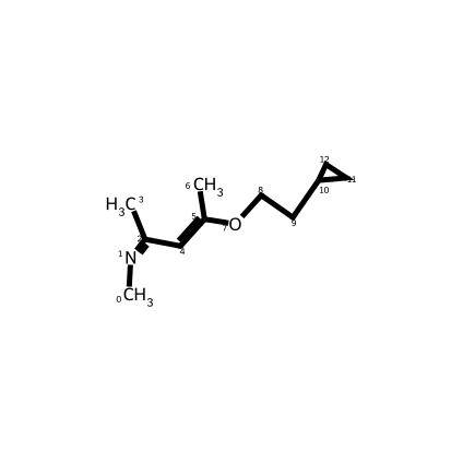 C/N=C(C)\C=C(/C)OCCC1CC1